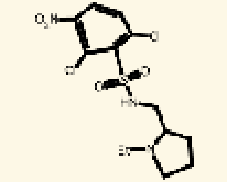 CCN1CCCC1CNS(=O)(=O)c1c(Cl)ccc([N+](=O)[O-])c1Cl